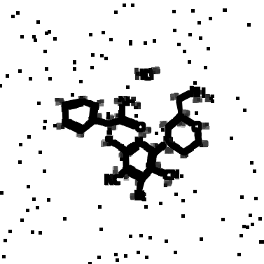 CCc1c(C#N)c(S[C@@H](C(N)=O)c2ccccc2)nc(N2CCO[C@H](CN)C2)c1C#N.Cl